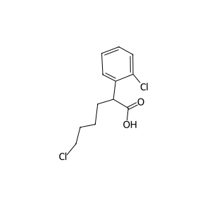 O=C(O)C(CCCCCl)c1ccccc1Cl